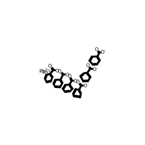 O=C([O-])c1ccccc1.O=C([O-])c1ccccc1.O=C([O-])c1ccccc1.O=C([O-])c1ccccc1.O=C([O-])c1ccccc1.O=C([O-])c1ccccc1.[Rh+3].[Rh+3]